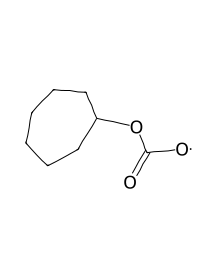 [O]C(=O)OC1CCCCCC1